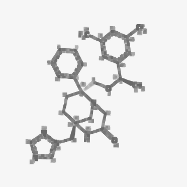 C[C@@H](OC[C@@]1(c2ccccc2)CC[C@]2(Cn3cncn3)CN1CC(=O)N2)c1cc(C(F)(F)F)cc(C(F)(F)F)c1